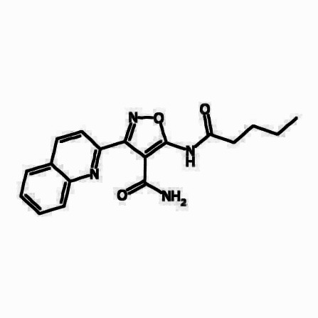 CCCCC(=O)Nc1onc(-c2ccc3ccccc3n2)c1C(N)=O